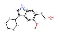 COc1cc2c(C3CCCCC3)c[nH]c2cc1CCO